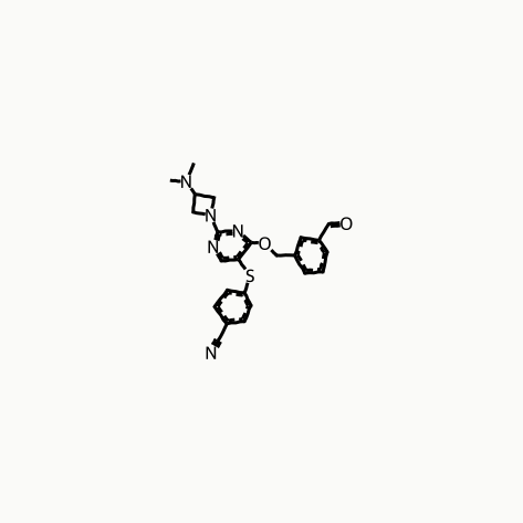 CN(C)C1CN(c2ncc(Sc3ccc(C#N)cc3)c(OCc3cccc(C=O)c3)n2)C1